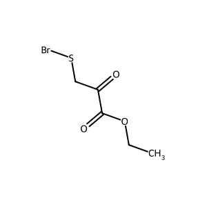 CCOC(=O)C(=O)CSBr